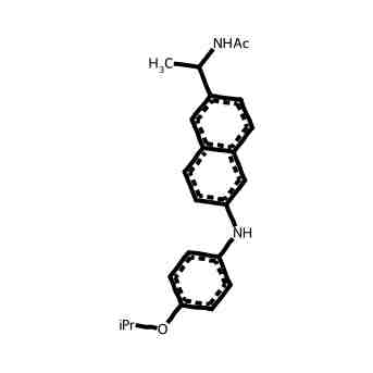 CC(=O)NC(C)c1ccc2cc(Nc3ccc(OC(C)C)cc3)ccc2c1